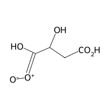 O=C(O)CC(O)C(O)=[O+][O-]